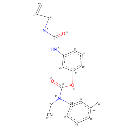 C=CCNC(=O)Nc1cccc(OC(=O)N(CC#N)c2cccc(C)c2)c1